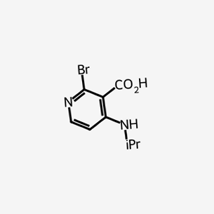 CC(C)Nc1ccnc(Br)c1C(=O)O